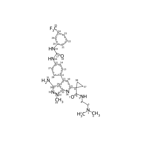 CN(C)CCNC(=O)C1(c2cc(-c3ccc(NC(=O)Nc4cccc(C(F)(F)F)c4)cc3)c3c(N)nn(C)c3n2)CC1